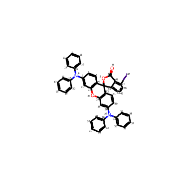 O=C1OC2(c3ccc(N(c4ccccc4)c4ccccc4)cc3Oc3cc(N(c4ccccc4)c4ccccc4)ccc32)c2cccc(I)c21